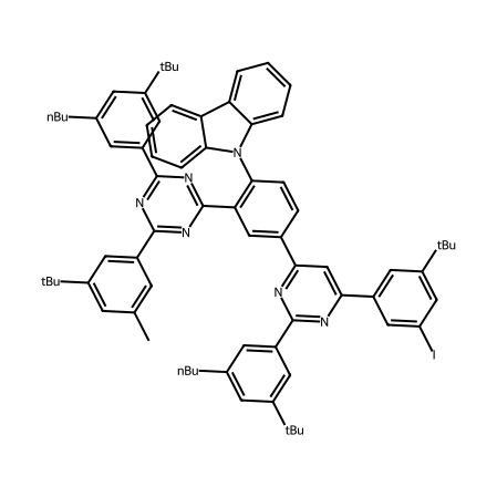 CCCCc1cc(-c2nc(-c3cc(I)cc(C(C)(C)C)c3)cc(-c3ccc(-n4c5ccccc5c5ccccc54)c(-c4nc(-c5cc(C)cc(C(C)(C)C)c5)nc(-c5cc(CCCC)cc(C(C)(C)C)c5)n4)c3)n2)cc(C(C)(C)C)c1